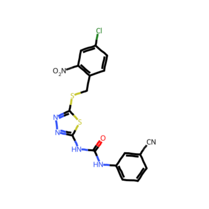 N#Cc1cccc(NC(=O)Nc2nnc(SCc3ccc(Cl)cc3[N+](=O)[O-])s2)c1